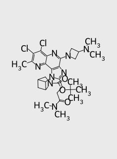 Cc1nc2c(nc(N3CC(N(C)C)C3)c3nc(CCC(=O)N(C)C)n(C4C5CC4N(C(=O)OC(C)(C)C)C5)c32)c(Cl)c1Cl